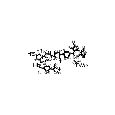 COC(=O)C[C@@H]1N=C(c2ccc(-c3ccc(C(=O)NC(C(=O)N4C[C@H](O)C[C@H]4C(=O)N[C@@H](C)c4ccc(-c5scnc5C)cc4)C(C)(C)C)cc3F)cc2)c2c(sc(C)c2C)-n2c(C)nnc21